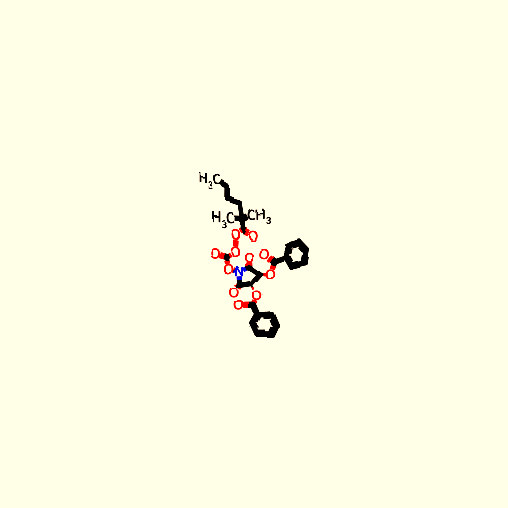 CCCCC(C)(C)C(=O)OOC(=O)ON1C(=O)[C@@H](OC(=O)c2ccccc2)[C@H](OC(=O)c2ccccc2)C1=O